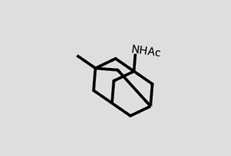 CC(=O)NC12CC3CC(CC(C)(C3)C1)C2